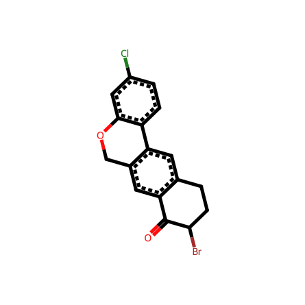 O=C1c2cc3c(cc2CCC1Br)-c1ccc(Cl)cc1OC3